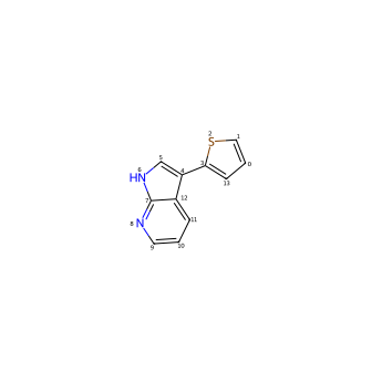 c1csc(-c2c[nH]c3ncccc23)c1